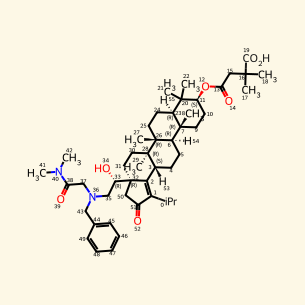 CC(C)C1=C2[C@H]3CC[C@@H]4[C@@]5(C)CC[C@H](OC(=O)CC(C)(C)C(=O)O)C(C)(C)[C@@H]5CC[C@@]4(C)[C@]3(C)CC[C@@]2([C@@H](O)CN(CC(=O)N(C)C)Cc2ccccc2)CC1=O